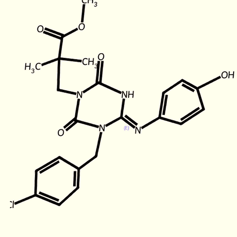 COC(=O)C(C)(C)Cn1c(=O)[nH]/c(=N\c2ccc(O)cc2)n(Cc2ccc(Cl)cc2)c1=O